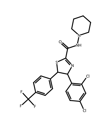 O=C(NN1CCCCC1)C1=NC(c2ccc(Cl)cc2Cl)C(c2ccc(C(F)(F)F)cc2)S1